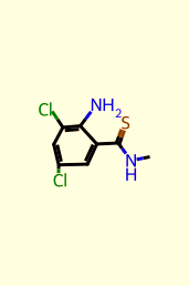 CNC(=S)c1cc(Cl)cc(Cl)c1N